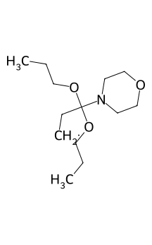 [CH2]CC(OCCC)(OCCC)N1CCOCC1